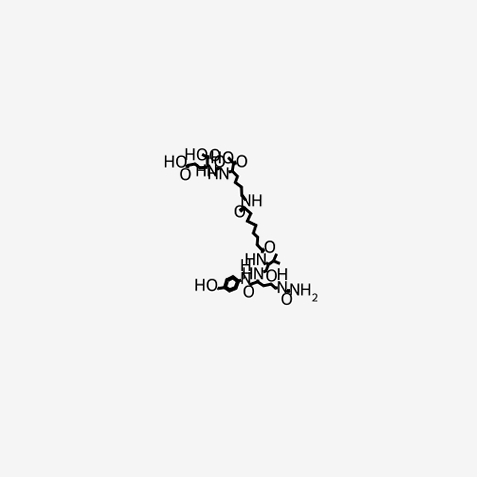 CC(C)C(NC(=O)CCCCCCC(=O)NCCCCC(NC(=O)NC(CCC(=O)O)C(=O)O)C(=O)O)C(=O)NC(CCCNC(N)=O)C(=O)Nc1ccc(CO)cc1